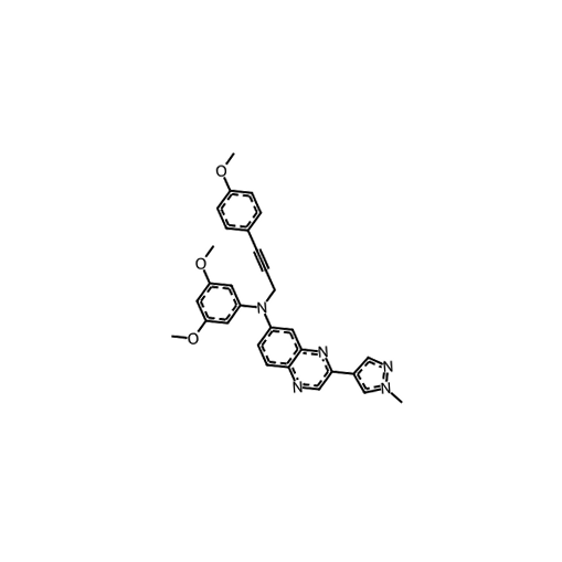 COc1ccc(C#CCN(c2cc(OC)cc(OC)c2)c2ccc3ncc(-c4cnn(C)c4)nc3c2)cc1